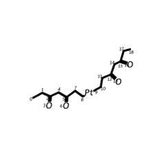 CCC(=O)CC(=O)C[CH2][Pt][CH2]CC(=O)CC(=O)CC